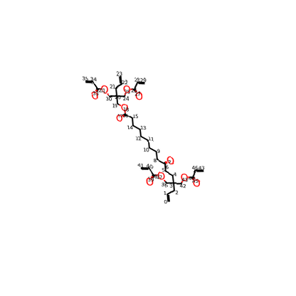 C=CCC(CCC(=O)CCCCCCCCC(=O)OCC(CC=C)(COC(=O)C=C)COC(=O)C=C)(COC(=O)C=C)COC(=O)C=C